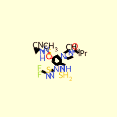 CC(C)C(=O)N1CCN(c2cc(OSN(C)NC3(C#N)CC3)cc(Nc3nnc(C(F)F)s3)c2C=N)CC1C.S